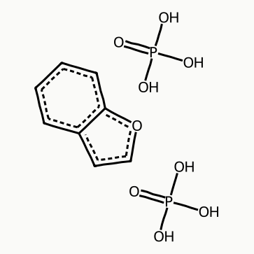 O=P(O)(O)O.O=P(O)(O)O.c1ccc2occc2c1